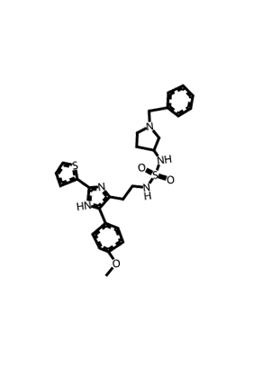 COc1ccc(-c2[nH]c(-c3cccs3)nc2CCNS(=O)(=O)NC2CCN(Cc3ccccc3)C2)cc1